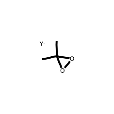 CC1(C)OO1.[Y]